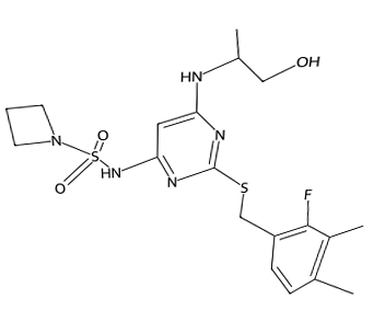 Cc1ccc(CSc2nc(NC(C)CO)cc(NS(=O)(=O)N3CCC3)n2)c(F)c1C